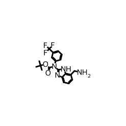 CC(C)(C)OC(=O)N(c1cccc(C(F)(F)F)c1)c1nc2cccc(CN)c2[nH]1